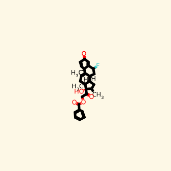 CC1C[C@H]2[C@@H]3CC(F)C4=CC(=O)C=C[C@]4(C)C3=CC[C@]2(C)[C@@]1(O)C(=O)COC(=O)c1ccccc1